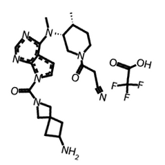 C[C@@H]1CCN(C(=O)CC#N)C[C@@H]1N(C)c1ncnc2c1ccn2C(=O)N1CC2(CC(N)C2)C1.O=C(O)C(F)(F)F